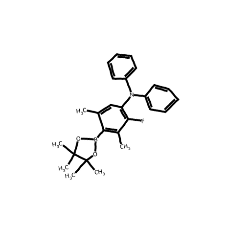 Cc1cc(N(c2ccccc2)c2ccccc2)c(F)c(C)c1B1OC(C)(C)C(C)(C)O1